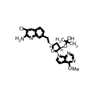 COc1ncnc2c1ccn2[C@@H]1O[C@H](CCc2ccc3cc(Cl)c(N)nc3c2)C[C@H]1OC(C)(C)O